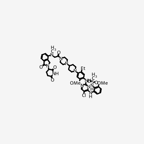 CCc1cc(Nc2ncc(Cl)c(Nc3cccc(OC)c3NS(C)(=O)=O)n2)c(OC)cc1N1CCC(N2CCN(C(=O)CN(C)c3cccc4c3CN(C3CCC(=O)NC3=O)C4=O)CC2)CC1